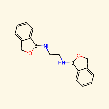 c1ccc2c(c1)COB2NCCNB1OCc2ccccc21